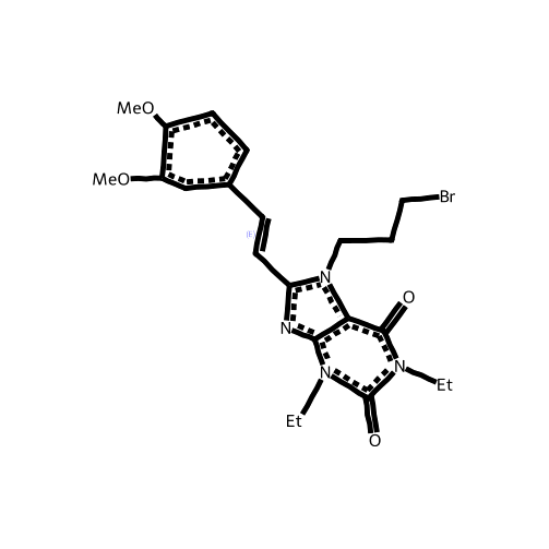 CCn1c(=O)c2c(nc(/C=C/c3ccc(OC)c(OC)c3)n2CCCBr)n(CC)c1=O